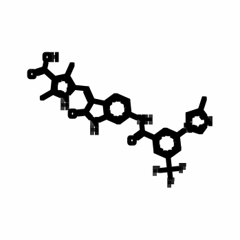 Cc1cn(-c2cc(C(=O)Nc3ccc4c(c3)NC(=O)/C4=C\c3[nH]c(C)c(C(=O)O)c3C)cc(C(F)(F)F)c2)cn1